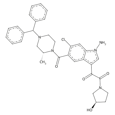 C[C@@H]1CN(C(c2ccccc2)c2ccccc2)CCN1C(=O)c1cc2c(C(=O)C(=O)N3CC[C@@H](O)C3)cn(N)c2cc1Cl